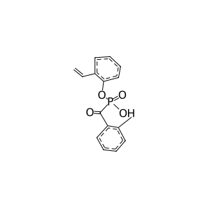 C=Cc1ccccc1OP(=O)(O)C(=O)c1ccccc1C